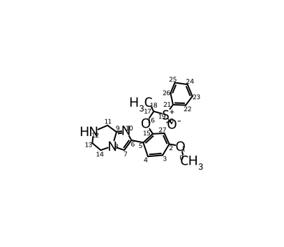 COc1ccc(-c2cn3c(n2)CNCC3)c(OC(C)[S+]([O-])c2ccccc2)c1